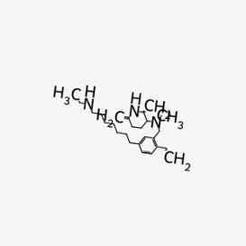 C=Cc1ccc(CCCCCCCNCC)cc1CN(C)C1CCC(=C)NC1=C